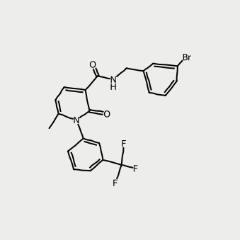 Cc1ccc(C(=O)NCc2cccc(Br)c2)c(=O)n1-c1cccc(C(F)(F)F)c1